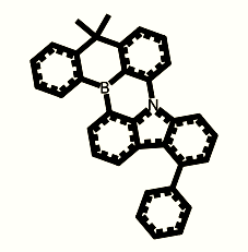 CC1(C)c2ccccc2B2c3c(cccc31)-n1c3cccc(-c4ccccc4)c3c3cccc2c31